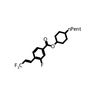 CCCCCC1CCC(OC(=O)c2ccc(/C=C/C(F)(F)F)c(F)c2)CC1